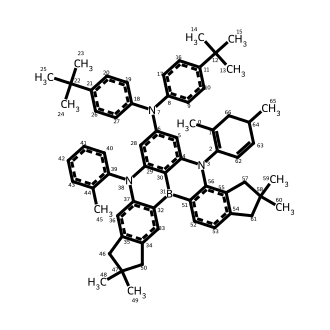 CC1=C(N2c3cc(N(c4ccc(C(C)(C)C)cc4)c4ccc(C(C)(C)C)cc4)cc4c3B(c3cc5c(cc3N4c3ccccc3C)CC(C)(C)C5)c3ccc4c(c32)CC(C)(C)C4)C=CC(C)C1